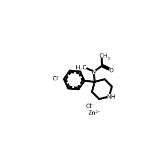 CC(=O)N(C)C1(c2ccccc2)CCNCC1.[Cl-].[Cl-].[Zn+2]